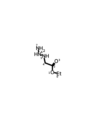 CCOC(=O)CNNN